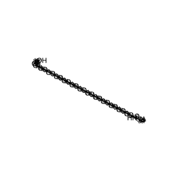 O=C(CSSc1ccccn1)NCCOCCOCCOCCOCCOCCOCCOCCOCCOCCOCCOCCOCCOCCOCCOCCOCCOCCOCCOCCOCCOCCOCCOCCOCCC(=O)ON1C(=O)CCC1O